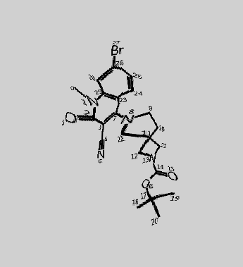 Cn1c(=O)c(C#N)c(N2CCC3(CN(C(=O)OC(C)(C)C)C3)C2)c2ccc(Br)cc21